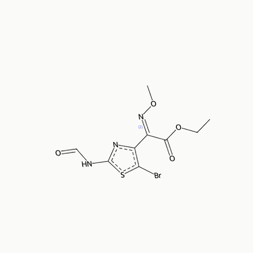 CCOC(=O)/C(=N\OC)c1nc(NC=O)sc1Br